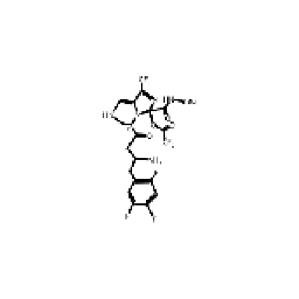 CCCCNC(=O)C1(OC(=O)C(F)(F)F)N=C(C(F)(F)F)C2=CNC[C@H](C(=O)CC(N)Cc3cc(F)c(F)cc3F)N21